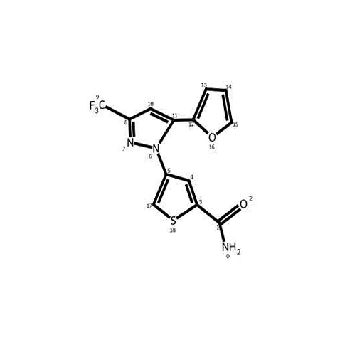 NC(=O)c1cc(-n2nc(C(F)(F)F)cc2-c2ccco2)cs1